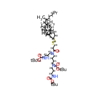 CC(C)CCC[C@@H](C)[C@H]1CC[C@H]2[C@@H]3CC=C4C[C@@H](SSCCC(=O)N(CCCCN(CCCNC(=O)OC(C)(C)C)C(=O)OC(C)(C)C)CCCNC(=O)OC(C)(C)C)CC[C@]4(C)[C@H]3CC[C@]12C